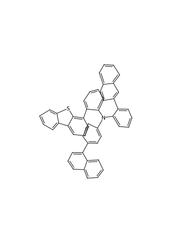 c1ccc(N(c2ccc(-c3cccc4ccccc34)cc2)c2ccccc2-c2cccc3c2sc2ccccc23)c(-c2ccc3ccccc3c2)c1